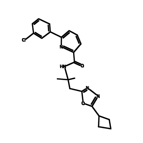 CC(C)(Cc1nnc(C2CCC2)o1)NC(=O)c1cccc(-c2cccc(Cl)c2)n1